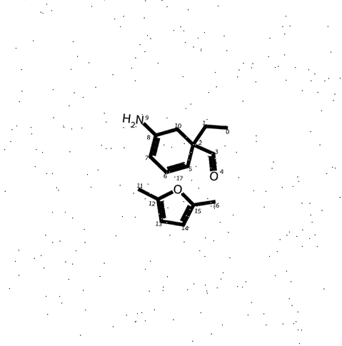 CCC1(C=O)C=CC=C(N)C1.Cc1ccc(C)o1